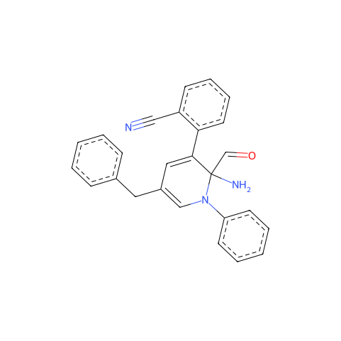 N#Cc1ccccc1C1=CC(Cc2ccccc2)=CN(c2ccccc2)C1(N)C=O